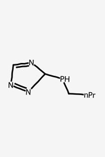 CCCCPC1N=CN=N1